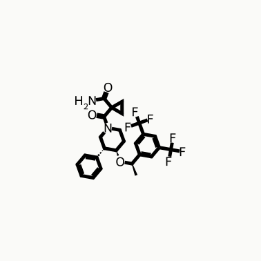 C[C@@H](O[C@H]1CCN(C(=O)C2(C(N)=O)CC2)C[C@H]1c1ccccc1)c1cc(C(F)(F)F)cc(C(F)(F)F)c1